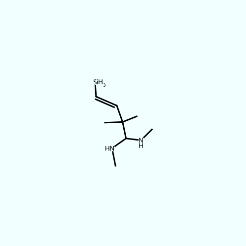 CNC(NC)C(C)(C)C=C[SiH3]